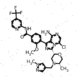 COc1cc(C(=O)Nc2cc(C(F)(F)F)ccn2)ccc1-c1nc([C@H]2CN(Cc3cnn(C)c3)[C@@H](C)CO2)n2c(Cl)cnc(N)c12